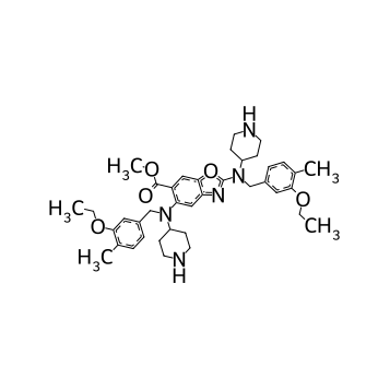 CCOc1cc(CN(c2nc3cc(N(Cc4ccc(C)c(OCC)c4)C4CCNCC4)c(C(=O)OC)cc3o2)C2CCNCC2)ccc1C